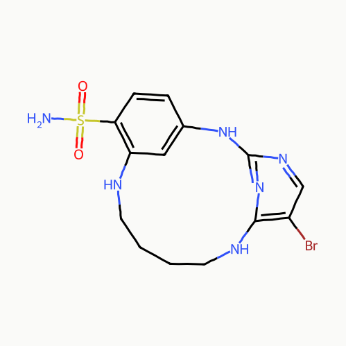 NS(=O)(=O)c1ccc2cc1NCCCCNc1nc(ncc1Br)N2